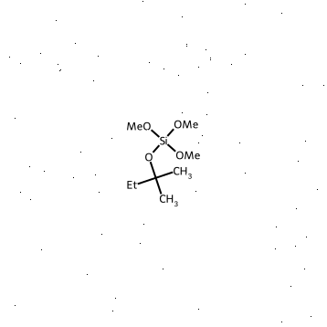 CCC(C)(C)O[Si](OC)(OC)OC